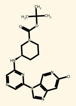 CC(C)(C)OC(=O)N1CCC[C@@H](Nc2cncc(-n3cnc4cc(Cl)ncc43)n2)C1